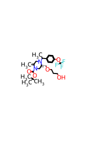 CC(c1ccc(OC(F)(F)F)cc1)N1C[C@H](C)N(C(=O)OC(C)(C)C)C[C@H]1COCCCO